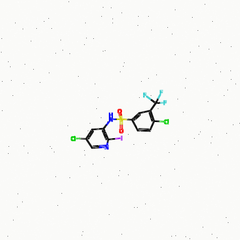 O=S(=O)(Nc1cc(Cl)cnc1I)c1ccc(Cl)c(C(F)(F)F)c1